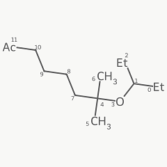 CCC(CC)OC(C)(C)CCCCC(C)=O